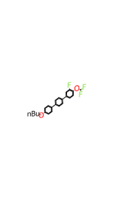 CCCCOc1ccc(-c2ccc(-c3ccc(OC(F)F)c(F)c3)cc2)cc1